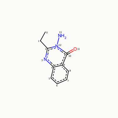 CCc1nc2ccccc2c(=O)n1N